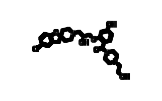 O=C(c1ccc(O)cc1OC[C@H](O)CN1CCC2(CC1)Cc1cc(Cl)ccc1O2)N1CCN(CCO)CC1